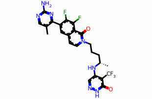 Cc1cnc(N)nc1-c1cc2ccn(CCC[C@H](C)Nc3cn[nH]c(=O)c3C(F)(F)F)c(=O)c2c(F)c1F